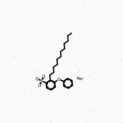 CCCCCCCCCCCCc1c(Oc2ccccc2)cccc1S(=O)(=O)[O-].[Na+]